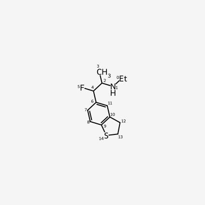 CCNC(C)C(F)c1ccc2c(c1)CCS2